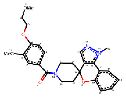 COCCOc1ccc(C(=O)N2CCC3(CC2)Oc2ccccc2-c2c3cnn2C)cc1OC